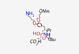 COCCCOc1cc(C[C@@H](C[C@H](NC(=O)OC(C)(C)C)[C@@H](O)C[C@@H](C)C(=O)O)C(C)C)ccc1OCCCCN